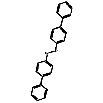 c1ccc(-c2ccc([Te][Te]c3ccc(-c4ccccc4)cc3)cc2)cc1